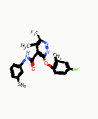 CSc1cccc(NC(=O)c2c(Oc3ccc(F)cc3C)nnc(C(F)(F)F)c2C)c1